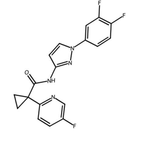 O=C(Nc1ccn(-c2ccc(F)c(F)c2)n1)C1(c2ccc(F)cn2)CC1